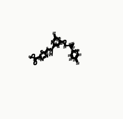 COC(=O)c1nnc(CNc2cc(OC[C@H]3C[C@@H]3c3ccc(C)cn3)nc(C)n2)s1